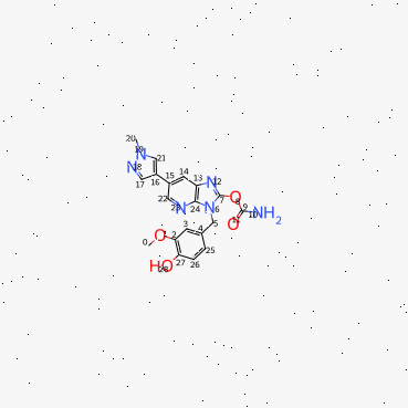 COc1cc(Cn2c(OC(N)=O)nc3cc(-c4cnn(C)c4)cnc32)ccc1O